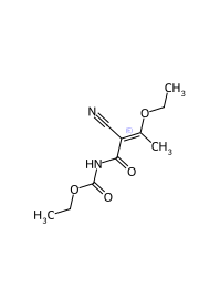 CCOC(=O)NC(=O)/C(C#N)=C(\C)OCC